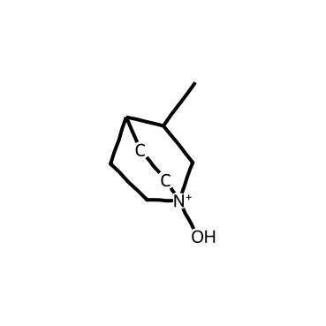 CC1C[N+]2(O)CCC1CC2